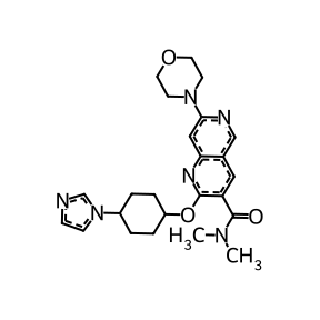 CN(C)C(=O)c1cc2cnc(N3CCOCC3)cc2nc1OC1CCC(n2ccnc2)CC1